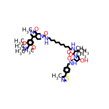 COc1cc(-c2cn(C)c(=O)c3c2CCN(C(=O)NCCCCCCCCCC(=O)N[C@H](C(=O)N2C[C@H](O)C[C@H]2C(=O)NCc2ccc(-c4scnc4C)cc2)C(C)(C)C)C3)cc(OC)c1CN(C)C